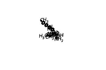 CC[C@H]1CC[C@H](c2ccc(-c3cnc(-c4ccc(C[C@H](NC(=O)c5ccc(C(C)(C)C)s5)C(=O)N[C@@H](CC(N)=O)C(=O)O)cc4)nc3)cc2)CC1